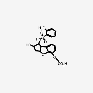 Cc1ccccc1S(=O)(=O)NC1C(O)CC2Oc3c(OCC(=O)O)cccc3C21